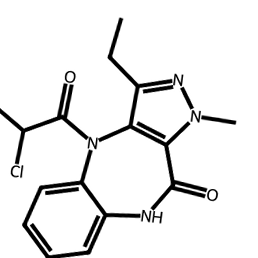 CCc1nn(C)c2c1N(C(=O)C(C)Cl)c1ccccc1NC2=O